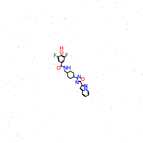 O=C(NCC1CCC(c2noc(-c3cc4ccccn4n3)n2)CC1)c1cc(F)c(O)c(F)c1